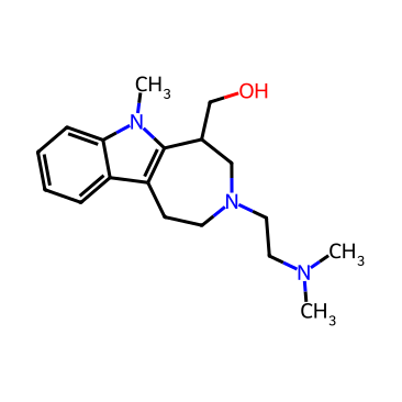 CN(C)CCN1CCc2c(n(C)c3ccccc23)C(CO)C1